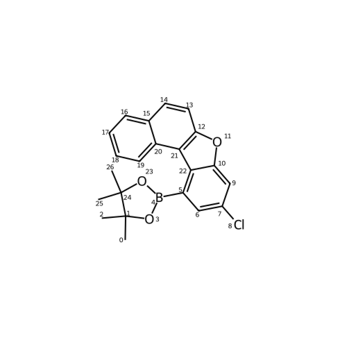 CC1(C)OB(c2cc(Cl)cc3oc4ccc5ccccc5c4c23)OC1(C)C